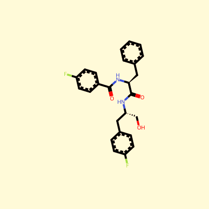 O=C(N[C@@H](Cc1ccccc1)C(=O)N[C@H](CO)Cc1ccc(F)cc1)c1ccc(F)cc1